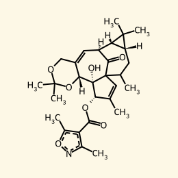 CC1=CC23C(=O)[C@@H](C=C4COC(C)(C)O[C@H]4[C@]2(O)[C@H]1OC(=O)c1c(C)noc1C)[C@H]1[C@@H](CC3C)C1(C)C